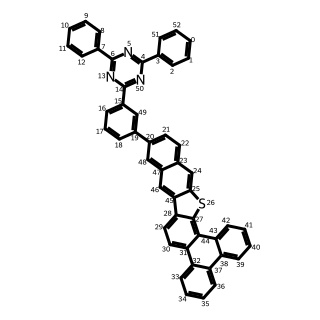 c1ccc(-c2nc(-c3ccccc3)nc(-c3cccc(-c4ccc5cc6sc7c(ccc8c9ccccc9c9ccccc9c87)c6cc5c4)c3)n2)cc1